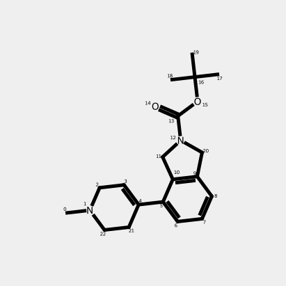 CN1CC=C(c2cccc3c2CN(C(=O)OC(C)(C)C)C3)CC1